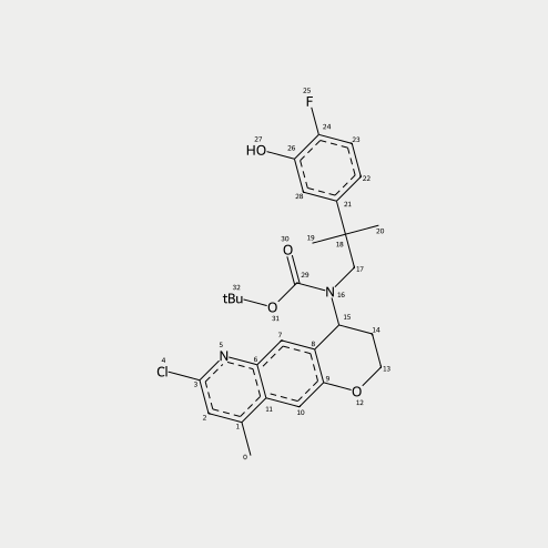 Cc1cc(Cl)nc2cc3c(cc12)OCCC3N(CC(C)(C)c1ccc(F)c(O)c1)C(=O)OC(C)(C)C